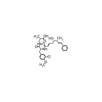 COc1ccc(CC(NC(=O)/C=C/C[C@H](O)[C@H](C)/C=C/c2ccccc2)C(=O)NCC(C)C(=O)O)cc1Cl